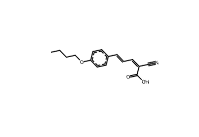 CCCCOc1ccc(C=CC=C(C#N)C(=O)O)cc1